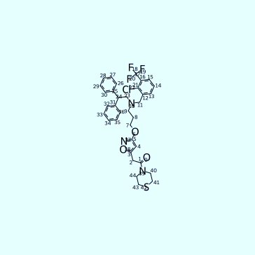 O=C(Cc1cc(OCCCN(Cc2cccc(C(F)(F)F)c2Cl)CC(c2ccccc2)c2ccccc2)no1)N1CCSCC1